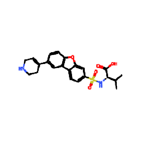 CC(C)[C@H](NS(=O)(=O)c1ccc2c(c1)oc1ccc(C3=CCNCC3)cc12)C(=O)O